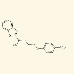 CCCCN(CCCOc1ccc(C(=O)O)cc1)c1nc2ccccc2o1